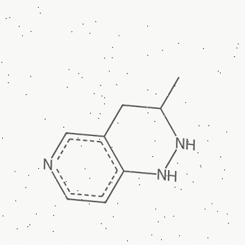 CC1Cc2cnccc2NN1